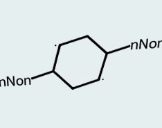 CCCCCCCCCC1[CH]CC(CCCCCCCCC)[CH]C1